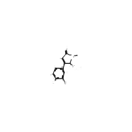 CN1C(=O)C=C(c2ccc(F)c(F)c2)C1O